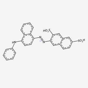 O=S(=O)(O)c1ccc2cc(/N=N/c3ccc(Nc4ccccc4)c4ccccc34)c(S(=O)(=O)O)cc2c1